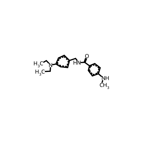 CCN(CC)c1ccc(CNC(=O)c2ccc(NC)cc2)cc1